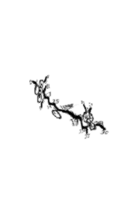 CCO[Si](OCC)(OCC)C(C)CCCCC(=O)CCCCC(C)[Si](OCC)(OCC)OCC